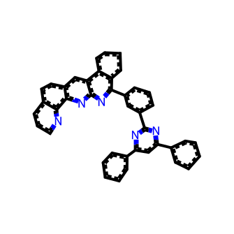 c1ccc(-c2cc(-c3ccccc3)nc(-c3cccc(-c4nc5nc6c(ccc7cccnc76)cc5c5ccccc45)c3)n2)cc1